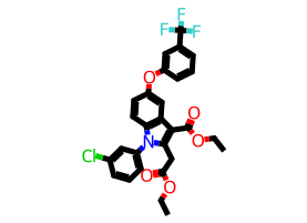 CCOC(=O)Cc1c(C(=O)OCC)c2cc(Oc3cccc(C(F)(F)F)c3)ccc2n1-c1cccc(Cl)c1